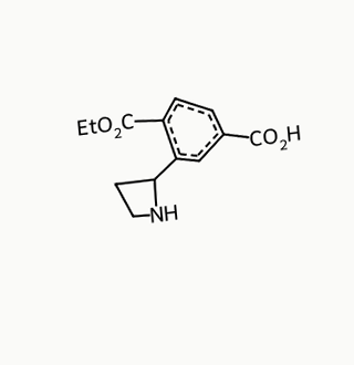 CCOC(=O)c1ccc(C(=O)O)cc1C1CCN1